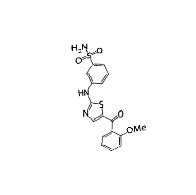 COc1ccccc1C(=O)c1cnc(Nc2cccc(S(N)(=O)=O)c2)s1